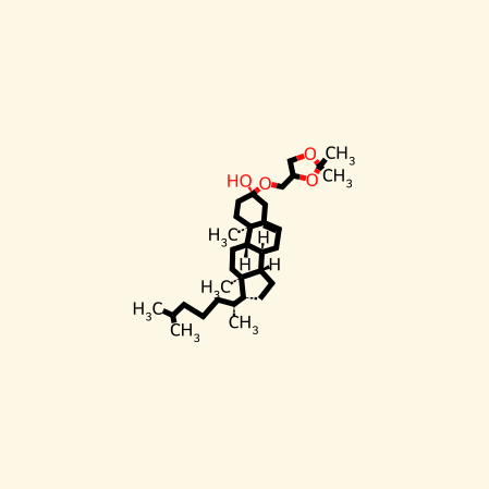 CC(C)CCC[C@@H](C)[C@H]1CC[C@H]2[C@@H]3CC=C4C[C@](O)(OCC5COC(C)(C)O5)CC[C@]4(C)[C@H]3CC[C@]12C